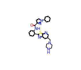 O=C(Nc1ccccc1-c1nc2cc(CN3CCNCC3)cnc2s1)c1ccn(-c2ccccc2)n1